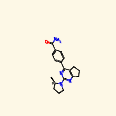 C[C@@H]1CCCN1c1nc2c(c(-c3ccc(C(N)=O)cc3)n1)CCC2